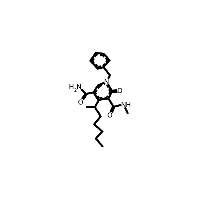 CCCCCC(C)c1c(C(N)=O)cn(Cc2ccccc2)c(=O)c1C(=O)NC